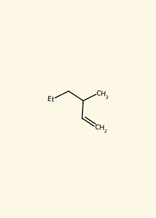 [CH2]CCC(C)C=C